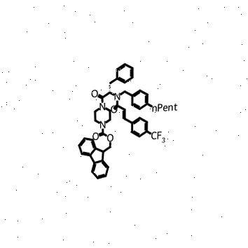 CCCCCc1ccc(CN(C(=O)/C=C/c2ccc(C(F)(F)F)cc2)[C@@H](Cc2ccccc2)C(=O)N2CCN(C(=O)OCC3c4ccccc4-c4ccccc43)CC2)cc1